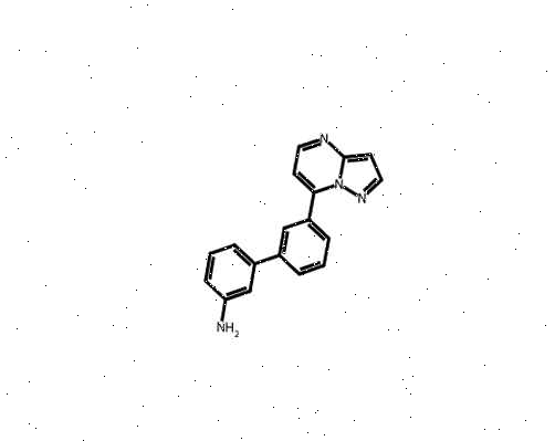 Nc1cccc(-c2cccc(-c3ccnc4[c]cnn34)c2)c1